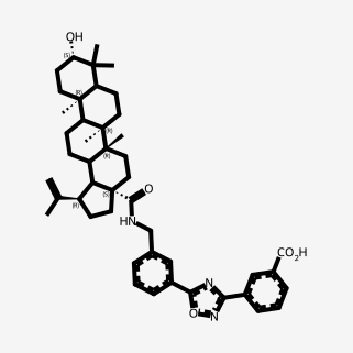 C=C(C)[C@@H]1CC[C@]2(C(=O)NCc3cccc(-c4nc(-c5cccc(C(=O)O)c5)no4)c3)CC[C@]3(C)C(CCC4[C@@]5(C)CC[C@H](O)C(C)(C)C5CC[C@]43C)C12